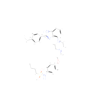 CCCCS(=O)(=O)Nc1ccc(OCCN2CCN(c3cccc4[nH]c(-c5ccc(CC)cc5)nc34)CC2)cc1